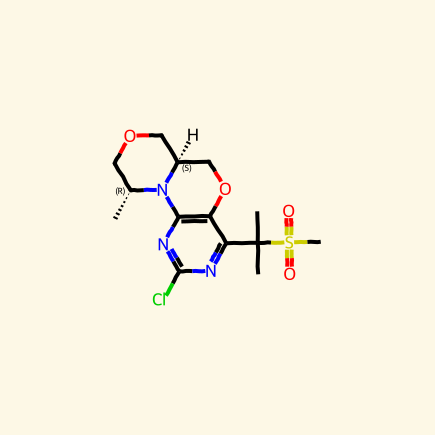 C[C@@H]1COC[C@H]2COc3c(nc(Cl)nc3C(C)(C)S(C)(=O)=O)N21